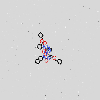 O=C(OCc1ccccc1)c1ccccc1NC(=O)[C@@H]1CCCN1C(=O)[C@@H]1CC(OCc2ccccc2)CN1C(=O)Nc1ccc2ccccc2c1